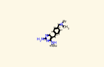 CCCCNc1nc(N)ncc1Cc1ccc(CN(C)C(C)C)cc1